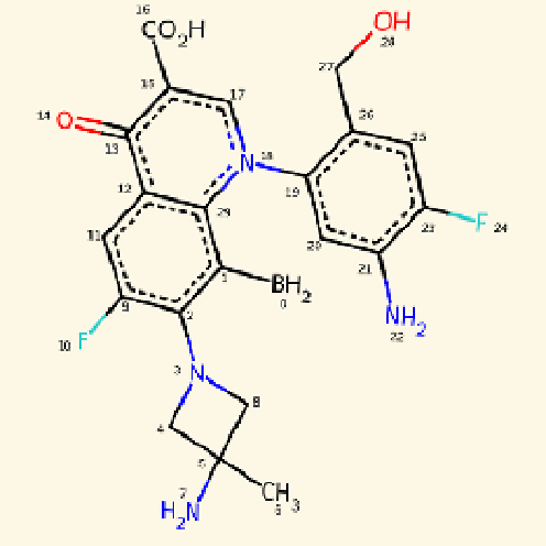 Bc1c(N2CC(C)(N)C2)c(F)cc2c(=O)c(C(=O)O)cn(-c3cc(N)c(F)cc3CO)c12